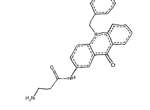 NCCC(=O)Nc1ccc2c(c1)c(=O)c1ccccc1n2Cc1ccccc1